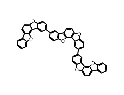 c1ccc2c(c1)oc1c2ccc2oc3ccc(-c4ccc5oc6c(ccc7oc8ccc(-c9ccc%10oc%11ccc%12c%13ccccc%13oc%12c%11c%10c9)cc8c76)c5c4)cc3c21